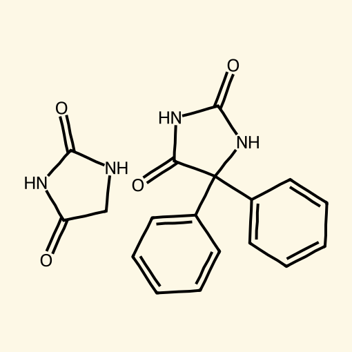 O=C1CNC(=O)N1.O=C1NC(=O)C(c2ccccc2)(c2ccccc2)N1